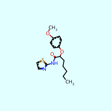 CCCCCC(Oc1ccc(OC)cc1)C(=O)Nc1nccs1